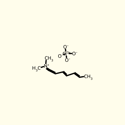 CC=CC=CC=C=[N+](C)C.[O-][Cl+3]([O-])([O-])[O-]